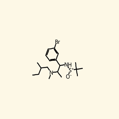 CCC(C)CN(C)C(C)C(N[S+]([O-])C(C)(C)C)c1cccc(Br)c1